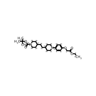 CCOC(=O)COc1ccc(N2CCC(CCC3CCN(C(=O)OC(C)(C)C)CC3)CC2)cc1